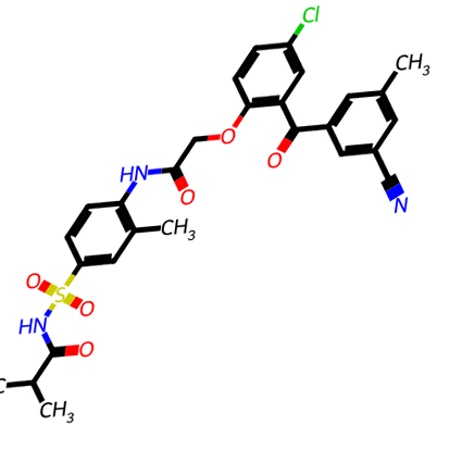 Cc1cc(C#N)cc(C(=O)c2cc(Cl)ccc2OCC(=O)Nc2ccc(S(=O)(=O)NC(=O)C(C)C)cc2C)c1